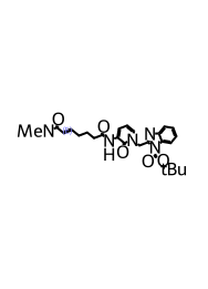 CNC(=O)/C=C/CCCC(=O)Nc1cccn(Cc2nc3ccccc3n2C(=O)OC(C)(C)C)c1=O